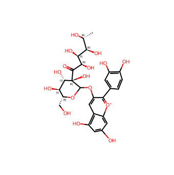 C[C@@H](O)[C@@H](O)[C@H](O)[C@@H](O)C(=O)[C@]1(O)C(Oc2cc3c(O)cc(O)cc3[o+]c2-c2ccc(O)c(O)c2)O[C@H](CO)[C@@H](O)[C@@H]1O